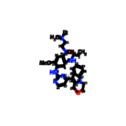 C=CC(=O)Nc1cc(Nc2nccc(-c3c4n(c5ccccc35)CCOC4)n2)c(OC)cc1N(C)CCN(C)CC